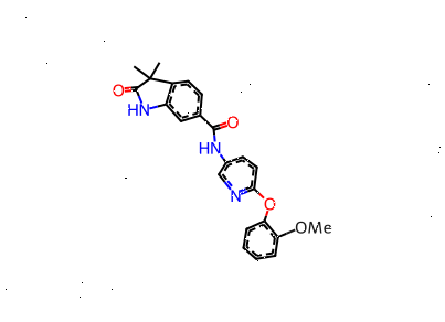 COc1ccccc1Oc1ccc(NC(=O)c2ccc3c(c2)NC(=O)C3(C)C)cn1